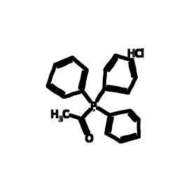 CC(=O)[P](c1ccccc1)(c1ccccc1)c1ccccc1.Cl